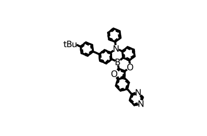 CC(C)(C)c1ccc(-c2ccc3c(c2)N(c2ccccc2)c2cccc4c2B3c2oc3ccc(-c5ccncn5)cc3c2O4)cc1